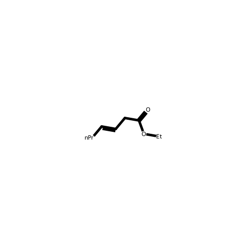 CCCC=CCC(=O)OCC